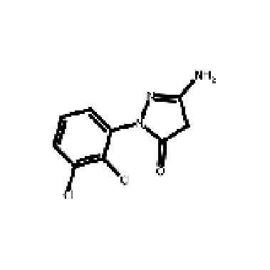 NC1=NN(c2cccc(Cl)c2Cl)C(=O)C1